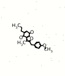 CCCC1=CC(=O)c2oc(Cc3ccc(OC)cc3)c(C)c2C1=O